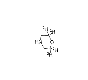 [2H]C1([2H])CNCC([2H])([2H])O1